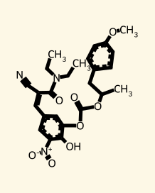 CCN(CC)C(=O)C(C#N)=Cc1cc(OC(=O)OC(C)Cc2ccc(OC)cc2)c(O)c([N+](=O)[O-])c1